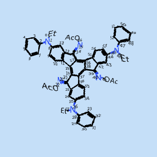 CCN(c1ccccc1)c1ccc2c(c1)/c(=N\OC(C)=O)c1c2c2/c(=N/OC(C)=O)c3cc(N(CC)c4ccccc4)ccc3c2c2/c(=N/OC(C)=O)c3cc(N(CC)c4ccccc4)ccc3c12